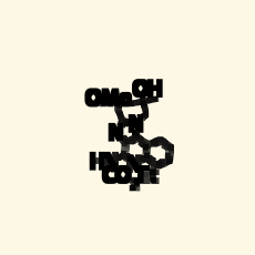 CCOC(=O)Nc1nc2ccccc2c2c1nc(COC)n2CC(C)(C)O